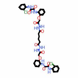 O=C(CCCCC(=O)NNC(=O)COc1ccccc1NC(=O)C(=O)Nc1ccccc1Cl)NNC(=O)COc1ccccc1NC(=O)C(=O)Nc1ccccc1Cl